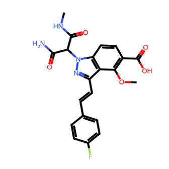 CNC(=O)C(C(N)=O)n1nc(C=Cc2ccc(F)cc2)c2c(OC)c(C(=O)O)ccc21